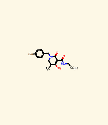 CC1CN(Cc2ccc(Br)cc2)C(=O)C(C(=O)NCC(=O)O)=C1O